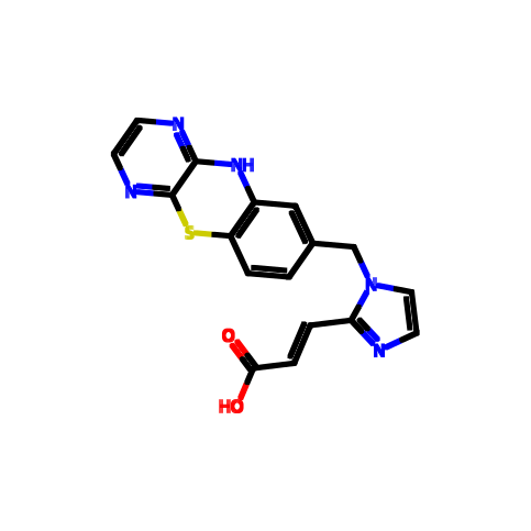 O=C(O)/C=C/c1nccn1Cc1ccc2c(c1)Nc1nccnc1S2